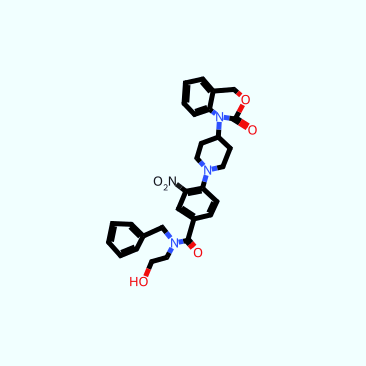 O=C(c1ccc(N2CCC(N3C(=O)OCc4ccccc43)CC2)c([N+](=O)[O-])c1)N(CCO)Cc1ccccc1